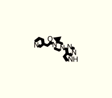 O=C(Cc1cccnc1)N1CCN(c2ncnc3[nH]ccc23)CC12CC2